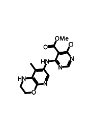 COC(=O)c1c(Cl)ncnc1Nc1cnc2c(c1C)NCCO2